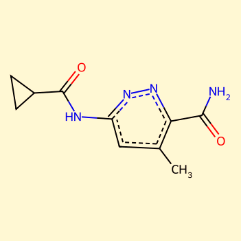 Cc1cc(NC(=O)C2CC2)nnc1C(N)=O